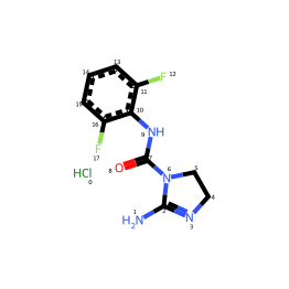 Cl.NC1=NCCN1C(=O)Nc1c(F)cccc1F